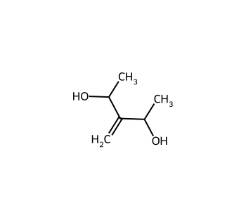 C=C(C(C)O)C(C)O